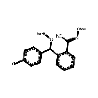 CNOC(c1ccc(Cl)cc1)c1ccccc1/C(C#N)=N/OC